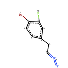 [N-]=[N+]=CCc1ccc(Br)c(F)c1